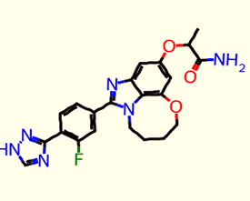 CC(Oc1cc2c3c(c1)nc(-c1ccc(-c4nc[nH]n4)c(F)c1)n3CCCCO2)C(N)=O